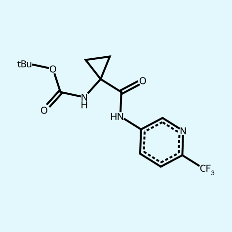 CC(C)(C)OC(=O)NC1(C(=O)Nc2ccc(C(F)(F)F)nc2)CC1